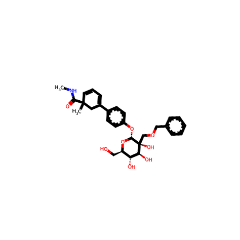 CNC(=O)C1(C)C=CC=C(c2ccc(O[C@H]3O[C@H](CO)[C@@H](O)[C@H](O)[C@@]3(O)COCc3ccccc3)cc2)C1